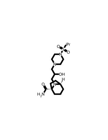 CC(C)S(=O)(=O)N1CCN(CC(O)CN2[C@@H]3C[CH]C[C@@]2(C(N)=O)CC3)CC1